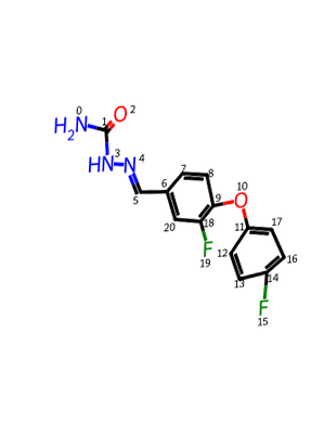 NC(=O)NN=Cc1ccc(Oc2ccc(F)cc2)c(F)c1